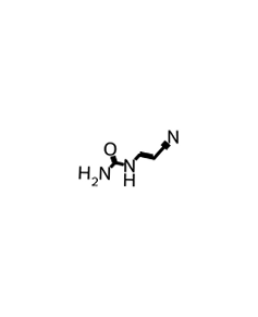 N#CC=CNC(N)=O